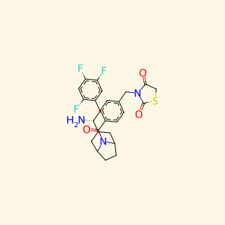 N[C@H](Cc1cc(F)c(F)cc1F)C1CC2CCC(C1)N2C(=O)c1ccc(CN2C(=O)CSC2=O)cc1